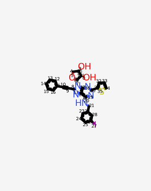 O[C@@H]1[C@H](O)CO[C@H]1n1c(C#Cc2ccccc2)nc2c(NCc3cccc(I)c3)nc(-c3cccs3)nc21